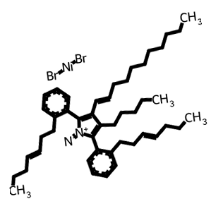 CCCC=CCCc1ccccc1C1=C(C=CCCCCCCCCC)C(CCCCC)=C(c2ccccc2CCC=CCCC)[N+]1=[N-].[Br][Ni][Br]